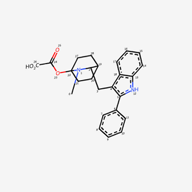 CN1C(Cc2c(-c3ccccc3)[nH]c3ccccc23)C2CCC1(OC(=O)C(=O)O)CC2